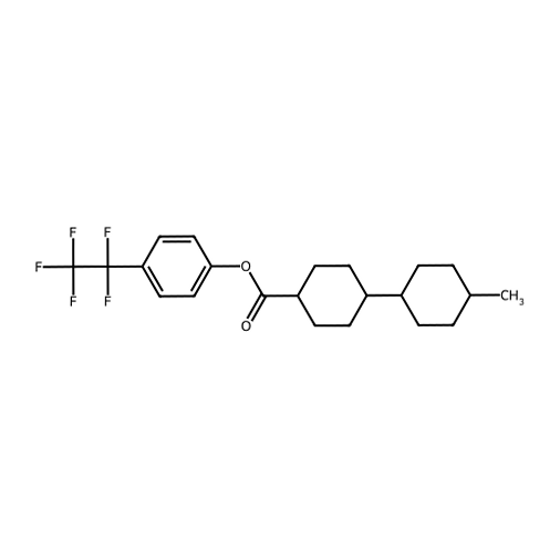 CC1CCC(C2CCC(C(=O)Oc3ccc(C(F)(F)C(F)(F)F)cc3)CC2)CC1